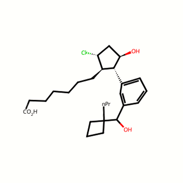 CCCC1(C(O)c2cccc([C@@H]3[C@@H](CCCCCCC(=O)O)[C@H](Cl)C[C@H]3O)c2)CCC1